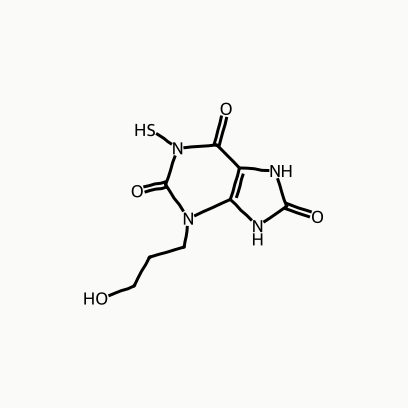 O=c1[nH]c2c(=O)n(S)c(=O)n(CCCO)c2[nH]1